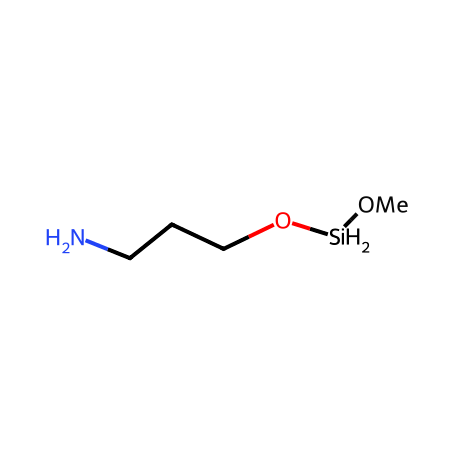 CO[SiH2]OCCCN